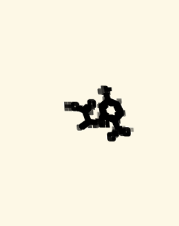 CC(Nc1cc(Br)ccc1[N+](=O)[O-])C(=O)O